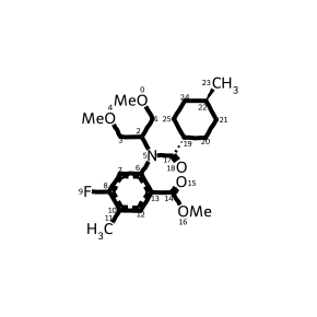 COCC(COC)N(c1cc(F)c(C)cc1C(=O)OC)C(=O)[C@H]1CC[C@H](C)CC1